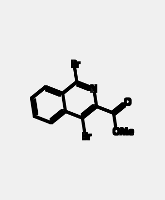 COC(=O)c1nc(Br)c2ccccc2c1Br